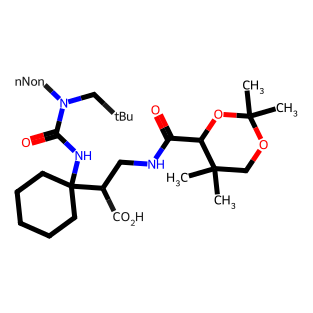 CCCCCCCCCN(CC(C)(C)C)C(=O)NC1(C(CNC(=O)C2OC(C)(C)OCC2(C)C)C(=O)O)CCCCC1